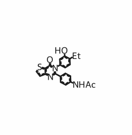 CCc1ccc(-n2c(-c3ccc(NC(C)=O)cc3)nc3ccsc3c2=O)cc1O